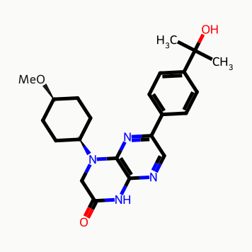 CO[C@H]1CC[C@@H](N2CC(=O)Nc3ncc(-c4ccc(C(C)(C)O)cc4)nc32)CC1